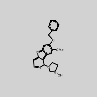 COc1cc2c(cc1OCc1ccccc1)=NC1=CC=NC(N3CC[C@H](O)C3)C=21